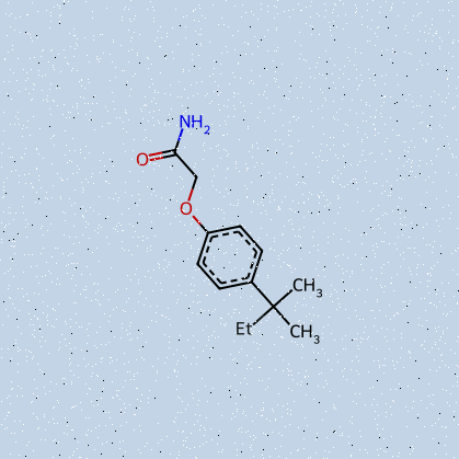 CCC(C)(C)c1ccc(OCC(N)=O)cc1